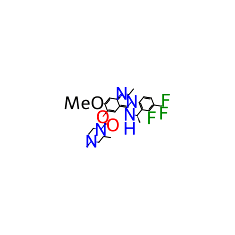 COc1cc2nc(C)nc(N[C@H](C)c3cccc(C(F)F)c3F)c2cc1OC(=O)N1CCN(C)CC1C